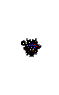 Cc1ccc2c(c1)c1ccccc1n2-c1c(-c2nc3ccccc3s2)c(-n2c3ccccc3c3cc(C)ccc32)c(-n2c3ccccc3c3cc(C)ccc32)c(-n2c3ccccc3c3cc(C)ccc32)c1-c1ccc(-c2ccccc2)nc1-c1ccccc1